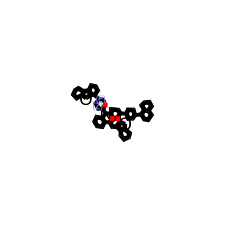 C=C(/C=C\C(=C/C)c1cccc2c1oc1ccccc12)N(c1ccc(-c2ccc(-c3cccc4ccccc34)cc2)cc1)c1ccccc1-c1ccc2oc3ccccc3c2c1